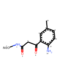 CONC(=O)CC(=O)c1cc(C)ccc1N